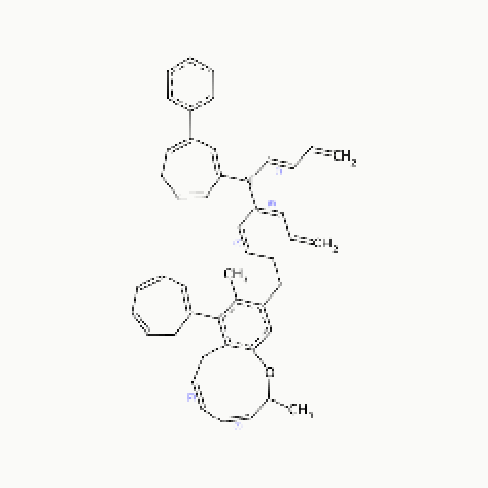 C=C/C=C/N(C1=CC(c2ccccc2)=CCC=C1)C(/C=C\CCc1cc2c(c(C3=CC=CC=CC3)c1C)C/C=C\C=C/C(C)O2)=C/C=C